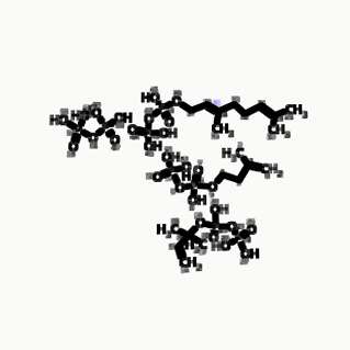 C=C(C)CCOP(=O)(O)OP(=O)(O)O.C=CC(C)(C)OP(=O)(O)OP(=O)(O)O.CC(C)=CCC/C(C)=C/COP(=O)(O)OP(=O)(O)O.O=P(O)(O)OP(=O)(O)O